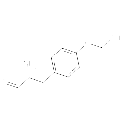 CCOc1ccc(C[C@@H](N)[C]=O)cc1